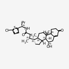 CC(C)[C@@H](NC(=O)C[C@@H](C)[C@H]1CC[C@H]2[C@@H]3[C@H](O)CC4=CC(=O)CC[C@]4(C)[C@H]3CC[C@]12C)c1ccc(Cl)s1